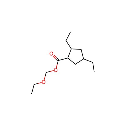 CCOCOC(=O)C1CC(CC)CC1CC